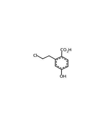 O=C(O)c1ccc(O)cc1CCCl